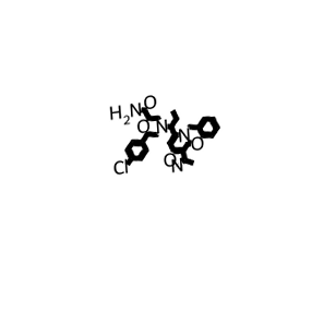 CCC(c1cc2onc(C)c2c(=O)n1Cc1ccccc1)N(CCC(N)=O)CC(=O)c1ccc(Cl)cc1